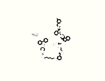 CN(CCN1CCC(N(C(=O)O)c2ccccc2-c2ccccc2)CC1)C(=O)CCCCCNc1cccc(C(=O)N(C)CCCN(C)C(=O)CO[C@H]2Cc3ccccc3C23CCN(CC[C@]2(c4ccc(F)cc4)CN(C(=O)c4cc(C(F)(F)F)cc(C(F)(F)F)c4)CO2)CC3)c1.Cl.Cl.Cl